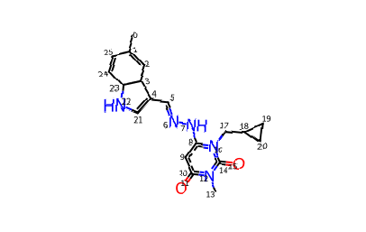 CC1=CC2C(C=NNc3cc(=O)n(C)c(=O)n3CC3CC3)=CNC2C=C1